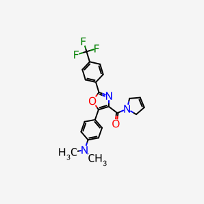 CN(C)c1ccc(-c2oc(-c3ccc(C(F)(F)F)cc3)nc2C(=O)N2CC=CC2)cc1